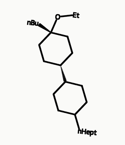 CCCCCCCC1CCC([C@H]2CC[C@@](CCCC)(OCC)CC2)CC1